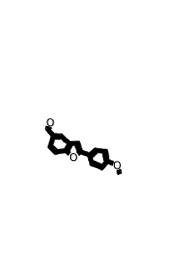 COc1ccc(-c2cc3cc(C=O)ccc3o2)cc1